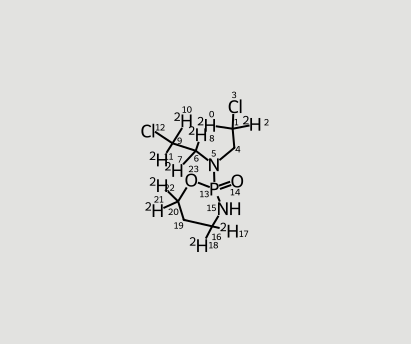 [2H]C([2H])(Cl)CN(C([2H])([2H])C([2H])([2H])Cl)P1(=O)NC([2H])([2H])CC([2H])([2H])O1